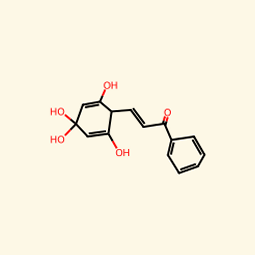 O=C(/C=C/C1C(O)=CC(O)(O)C=C1O)c1ccccc1